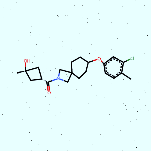 Cc1ccc(OC2CCC3(CC2)CN(C(=O)[C@H]2C[C@@](C)(O)C2)C3)cc1Cl